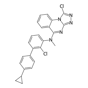 CN(c1cccc(-c2ccc(C3CC3)cc2)c1Cl)c1nc2nnc(Cl)n2c2ccccc12